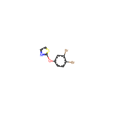 Brc1ccc(Oc2n[c]cs2)cc1Br